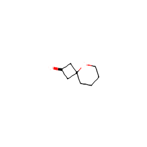 O=C1CC2(CCCCO2)C1